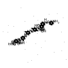 Cc1cc(N=Nc2cc(C)c(N=Nc3c(S(=O)(=O)O)cc4cc(NCOc5cccc(N)c5)ccc4c3O)cc2C)ccc1N=Nc1ccc(N=Nc2ccc(S(=O)(=O)O)cc2S(=O)(=O)O)c(C)c1